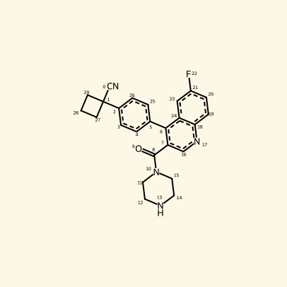 N#CC1(c2ccc(-c3c(C(=O)N4CCNCC4)cnc4ccc(F)cc34)cc2)CCC1